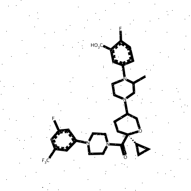 CC1CN(C2CC[C@@](C(=O)N3CCN(c4cc(F)cc(C(F)(F)F)c4)CC3)(C3CC3)OC2)CCN1c1ccc(F)c(C(=O)O)c1